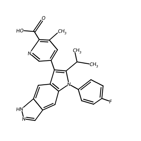 Cc1cc(-c2c(C(C)C)n(-c3ccc(F)cc3)c3cc4cn[nH]c4cc23)cnc1C(=O)O